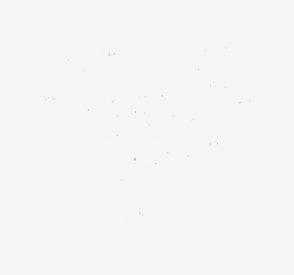 CCN(CC)c1ccc(-c2nc(-c3cc(OC)c(O)c(OC)c3)n(C(=O)N=S(=O)=O)c2-c2ccc(N(CC)CC)cc2)cc1.Cc1ccccc1